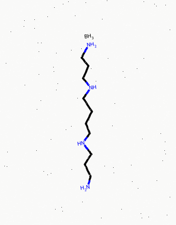 B.NCCCNCCCCNCCCN